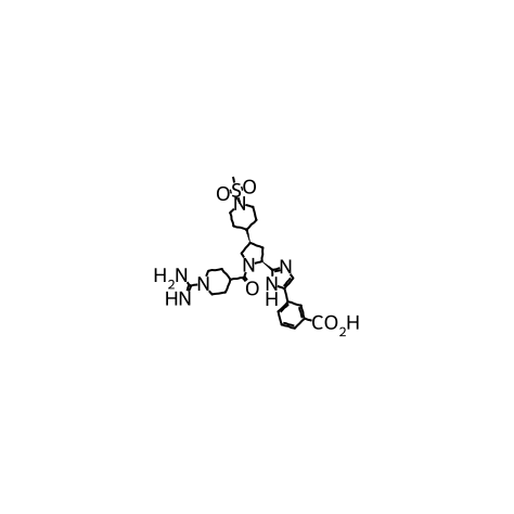 CS(=O)(=O)N1CCC([C@H]2C[C@@H](c3ncc(-c4cccc(C(=O)O)c4)[nH]3)N(C(=O)C3CCN(C(=N)N)CC3)C2)CC1